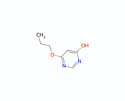 CCCOc1cc(O)ncn1